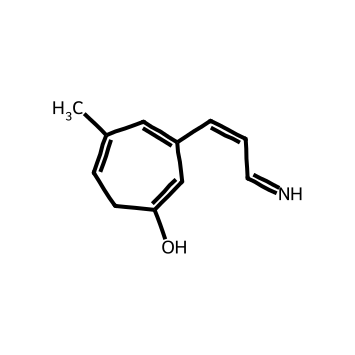 CC1=CCC(O)=CC(/C=C\C=N)=C1